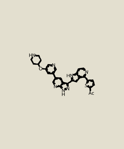 CC(=O)c1ccc(-c2nccc3[nH]c(-c4n[nH]c5ncc(-c6cncc(OC7CCNCC7)c6)cc45)cc23)s1